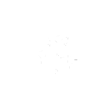 CC(=O)N1CCC(C(=O)N2CCC(N(C)C(=O)c3ccc4[nH]c(C)nc4c3)C(c3ccc(Cl)c(Cl)c3)C2)CC1.O=C(O)C(F)(F)F